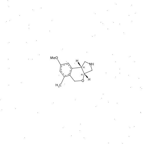 COc1cc(C)c2c(c1)[C@@H]1CNC[C@@H]1OC2